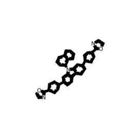 c1ccc2c(-n3c4cc(-c5ccc(-c6ncco6)cc5)ccc4c4ccc(-c5ccc(-c6ncco6)cc5)cc43)cccc2c1